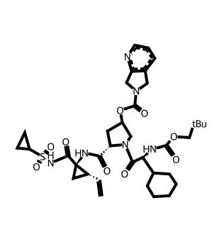 C=C[C@@H]1C[C@]1(NC(=O)[C@@H]1CC(OC(=O)N2Cc3cccnc3C2)CN1C(=O)[C@@H](NC(=O)OCC(C)(C)C)C1CCCCC1)C(=O)NS(=O)(=O)C1CC1